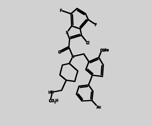 COc1ccc(-c2cccc(C(C)=O)c2)cc1CN(C(=O)c1sc2c(F)ccc(F)c2c1Cl)C1CCC(CNC(=O)O)CC1